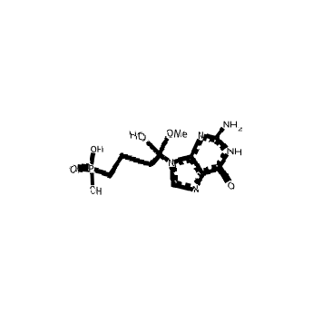 COC(O)([CH]CCP(=O)(O)O)n1cnc2c(=O)[nH]c(N)nc21